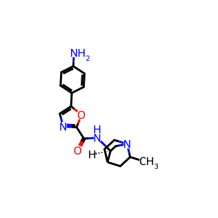 CC1CC2CCN1C[C@@H]2NC(=O)c1ncc(-c2ccc(N)cc2)o1